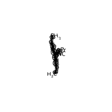 [C-]#[N+]C(C(=O)OCCC)=C1Sc2c(OC(=O)C3CCC(OC(=O)C4CCC(OCCCCCOC(=O)C=C)CC4)CC3)ccc(OC(=O)C3CCC(OC(=O)C4CCC(OCCCCCOC(=O)C=C)CC4)CC3)c2S1